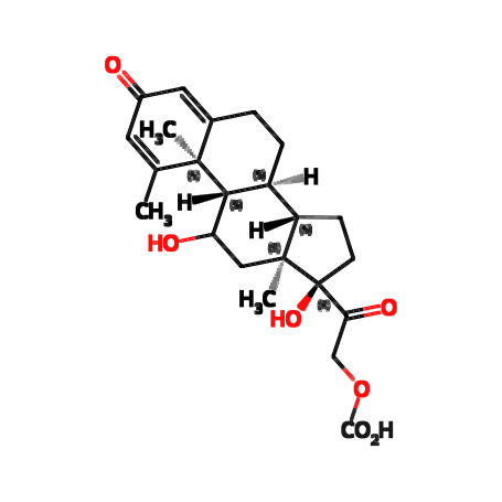 CC1=CC(=O)C=C2CC[C@@H]3[C@H](C(O)C[C@@]4(C)[C@H]3CC[C@]4(O)C(=O)COC(=O)O)[C@@]12C